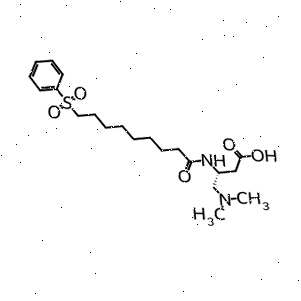 CN(C)C[C@@H](CC(=O)O)NC(=O)CCCCCCCCS(=O)(=O)c1ccccc1